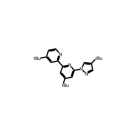 CC(C)(C)c1ccnc(-c2cc(C(C)(C)C)cc(-n3cc(C(C)(C)C)cn3)n2)c1